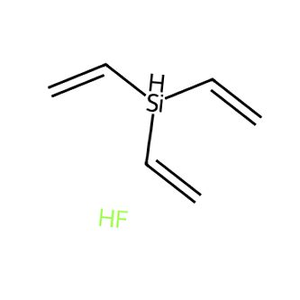 C=C[SiH](C=C)C=C.F